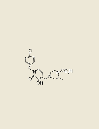 CC1CN(Cc2ccn(Cc3ccc(Cl)cc3)c(=O)c2O)CCN1C(=O)O